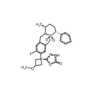 CO[C@H]1C[C@](c2n[nH]c(=O)o2)(c2cc(F)c(CN3[C@@H](C)CC[C@H](c4ccccc4)S3(=O)=O)cc2F)C1